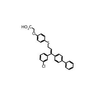 O=C(O)COc1ccc(SCC=C(c2ccc(-c3ccccc3)cc2)c2cccc(Cl)c2)cc1